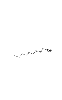 CCCC=CC/C=C/CO